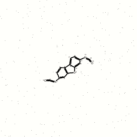 O=C=Nc1ccc2c(c1)oc1cc(N=C=O)ccc12